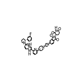 N=C(/C=C\c1ncc(-c2cccc(N3CCN(C4CN(c5ccc6c(c5)C(=O)N(C5CCC(=O)NC5=O)C6=O)C4)CC3)n2)[nH]1)N1CCC[C@@H]1c1cccc(F)c1